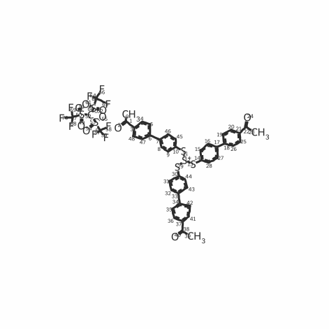 CC(=O)c1ccc(-c2ccc(S[S+](Sc3ccc(-c4ccc(C(C)=O)cc4)cc3)Sc3ccc(-c4ccc(C(C)=O)cc4)cc3)cc2)cc1.O=S(=O)([C-](S(=O)(=O)C(F)(F)F)S(=O)(=O)C(F)(F)F)C(F)(F)F